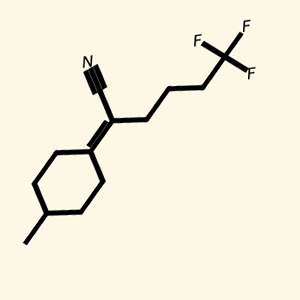 CC1CCC(=C(C#N)CCCC(F)(F)F)CC1